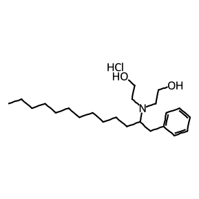 CCCCCCCCCCCC(Cc1ccccc1)N(CCO)CCO.Cl